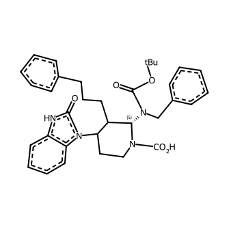 CC(C)(C)OC(=O)N(Cc1ccccc1)[C@H]1C(CCCc2ccccc2)C(n2c(=O)[nH]c3ccccc32)CCN1C(=O)O